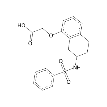 O=C(O)COc1cccc2c1CC(NS(=O)(=O)c1ccccc1)CC2